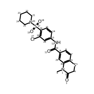 CN1C(=O)CSc2ccc(C(=O)Nc3ccc(S(=O)(=O)N4CCCCC4)c(Cl)c3)cc21